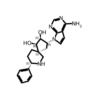 Nc1ncnc2c1ccn2[C@@H]1C[C@]2(CC[C@@H](c3ccccc3)NC2)[C@@H](O)[C@H]1O